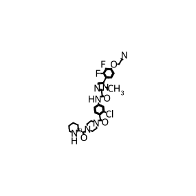 Cn1c(-c2ccc(OCC#N)c(F)c2F)cnc1C(=O)Nc1ccc(C(=O)N2CCN(C(=O)[C@@H]3CCCCN3)CC2)c(Cl)c1